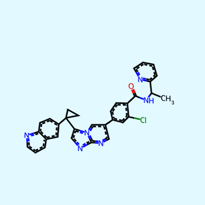 CC(NC(=O)c1ccc(-c2cnc3ncc(C4(c5ccc6ncccc6c5)CC4)n3c2)cc1Cl)c1ccccn1